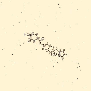 O=C(CN1CC2CC(O)(Cc3cccs3)CC2C1)c1ccc(O)c(F)c1